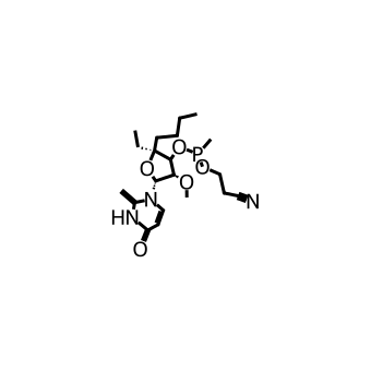 C=C1NC(=O)C=CN1[C@@H]1O[C@@](CC)(CCCC)C(OP(C)OCCC#N)[C@@H]1OC